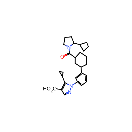 O=C(O)c1cnn(-c2cccc(C3CCCC(C(=O)N4CCCC4C4CCC4)C3)c2)c1C1CC1